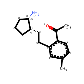 CC(=O)c1ccc(C)cc1CC[C@@H]1CCC[C@@H]1N